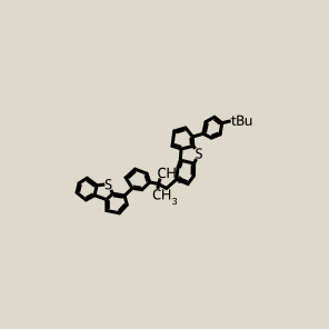 CC(C)(C)c1ccc(-c2cccc3c2sc2ccc(CC(C)(C)c4cccc(-c5cccc6c5sc5ccccc56)c4)cc23)cc1